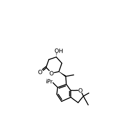 CC(C)c1ccc2c(c1C(C)[C@@H]1C[C@@H](O)CC(=O)O1)OC(C)(C)C2